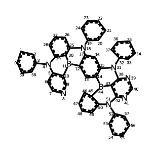 c1ccc(N2c3ccncc3B3c4cc5c(cc4N(c4ccccc4)c4cccc2c43)N(c2ccccc2)c2ncnc3c2B5c2ccccc2N3c2ccccc2)cc1